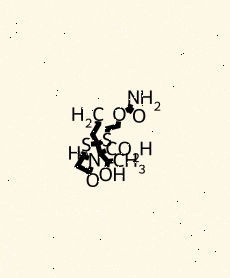 C=CCC1(SCCOC(N)=O)S[C@@H]2CC(=O)N2C1(C(=O)O)C(C)O